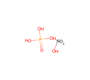 O=P(O)(O)O.O=[N+]([O-])O